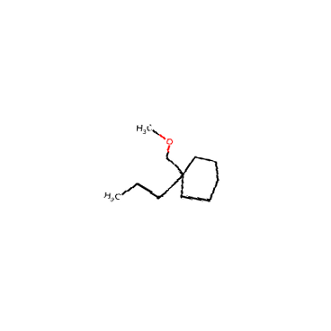 CCCC1(COC)CCCCC1